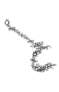 CC(C)[C@H](NC(=O)[C@H](N)CCCCNC(=O)CCOCCOCCOCCOCCNC(=O)COC1C#CCCCCC1)C(=O)N[C@@H](CCCNC(N)=O)C(=O)Nc1ccc(COC(=O)NCCOc2ccc3c(c2)[C@@]2(C)CCC[C@](C)(C(=O)NC(=O)[C@@]4(C)CCC[C@]5(C)c6cc(O)ccc6CC[C@@H]45)[C@@H]2CC3)cc1